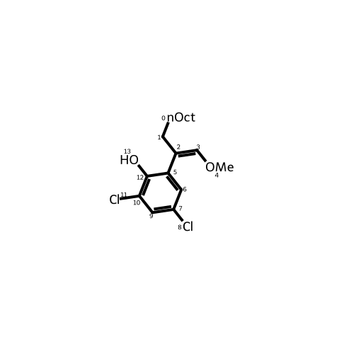 CCCCCCCCC/C(=C/OC)c1cc(Cl)cc(Cl)c1O